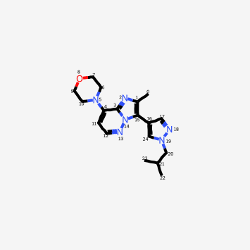 Cc1nc2c(N3CCOCC3)ccnn2c1-c1cnn(CC(C)C)c1